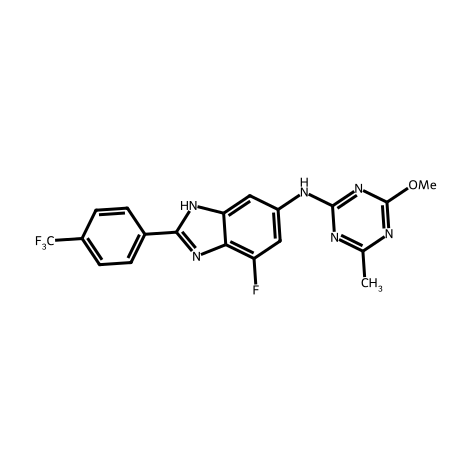 COc1nc(C)nc(Nc2cc(F)c3nc(-c4ccc(C(F)(F)F)cc4)[nH]c3c2)n1